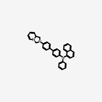 C1=CC2CN(c3ccc(-c4ccc(N(c5ccccc5)c5cccc6ccccc56)cc4)cc3)CN2C=C1